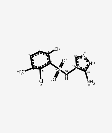 Cc1ccc(Cl)c(S(=O)(=O)Nn2cnnc2N)c1Cl